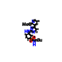 CCCCNS(=O)(=O)c1cccc(Nc2nccc(-c3cccnc3OC)n2)c1